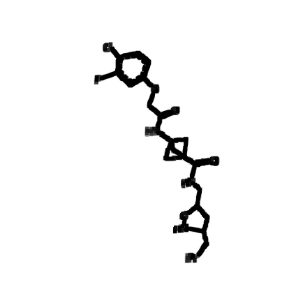 CC(C)CC1CC(CNC(=O)C23CC(NC(=O)COc4ccc(Cl)c(F)c4)(C2)C3)ON1